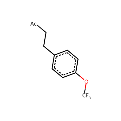 CC(=O)CCc1ccc(OC(F)(F)F)cc1